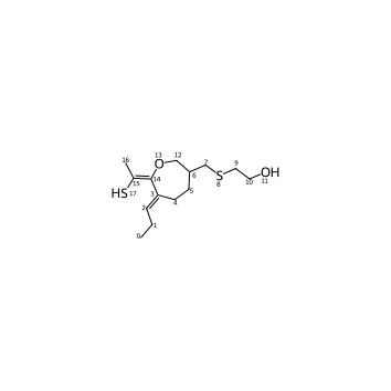 CC/C=C1\CCC(CSCCO)CO\C1=C(/C)S